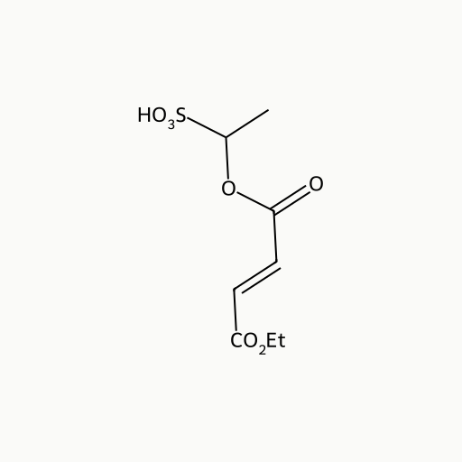 CCOC(=O)C=CC(=O)OC(C)S(=O)(=O)O